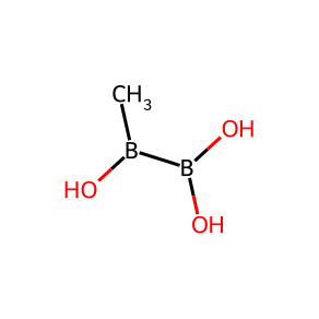 CB(O)B(O)O